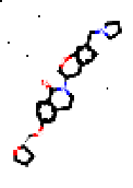 O=C1c2ccc(OC[C@@H]3CCCO3)cc2CCN1[C@H]1COc2cc(CN3CCCC3)ccc2C1